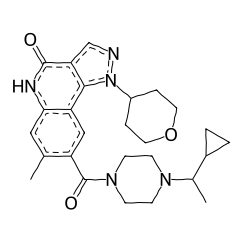 Cc1cc2[nH]c(=O)c3cnn(C4CCOCC4)c3c2cc1C(=O)N1CCN(C(C)C2CC2)CC1